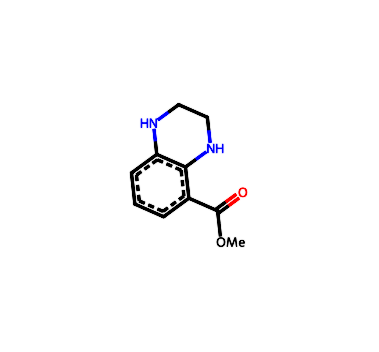 COC(=O)c1cccc2c1NCCN2